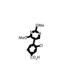 COc1ncc(-c2ccc(C(=O)O)cc2Cl)c(OC)n1